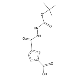 CC(C)(C)OC(=O)NNC(=O)c1ccc(C(=O)O)s1